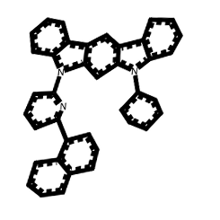 c1ccc(-n2c3ccccc3c3cc4c5ccccc5n(-c5cccc(-c6cccc7ccccc67)n5)c4cc32)cc1